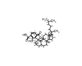 CC(=O)OC1(c2cccc(C(=O)O)c2O)CCCC2CC[C@H]3[C@@H]4CC[C@H]([C@H](C)CCCC(C)C)[C@@]4(C)CC[C@@H]3[C@]21C